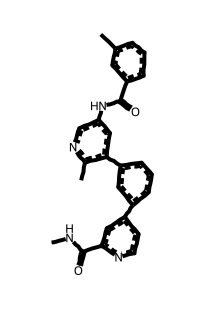 CNC(=O)c1cc(-c2cccc(-c3cc(NC(=O)c4cccc(C)c4)cnc3C)c2)ccn1